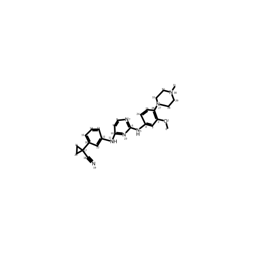 COc1cc(Nc2nccc(Nc3cccc(C4(C#N)CC4)c3)n2)ccc1N1CCN(C)CC1